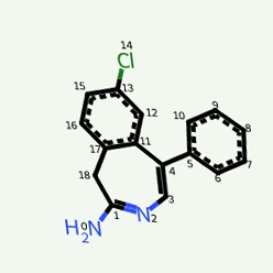 NC1=NC=C(c2ccccc2)c2cc(Cl)ccc2C1